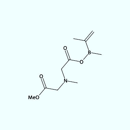 C=C(C)B(C)OC(=O)CN(C)CC(=O)OC